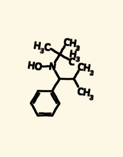 CC(C)C(c1ccccc1)N(O)C(C)(C)C